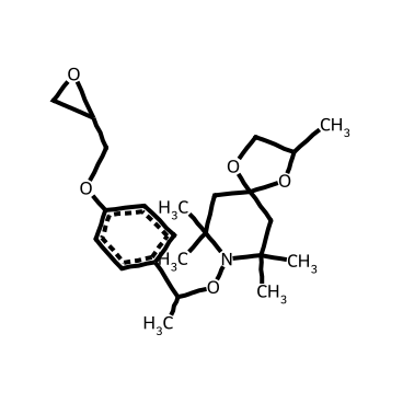 CC1COC2(CC(C)(C)N(OC(C)c3ccc(OCC4CO4)cc3)C(C)(C)C2)O1